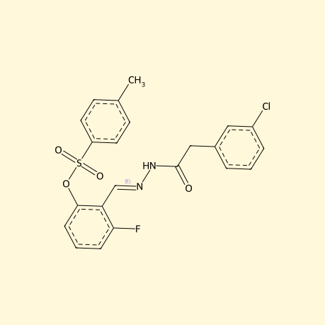 Cc1ccc(S(=O)(=O)Oc2cccc(F)c2/C=N/NC(=O)Cc2cccc(Cl)c2)cc1